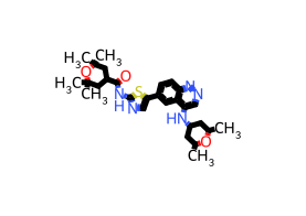 CC1CC(Nc2cnnc3ccc(-c4cnc(NC(=O)C5CC(C)(C)OC(C)(C)C5)s4)cc23)CC(C)O1